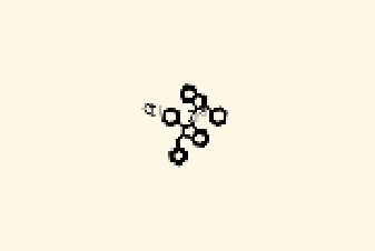 C1=C(c2ccccc2)[CH]([Zr+2][C]2=C(c3ccccc3)C(Cc3ccccc3)c3ccccc32)c2ccccc21.[Cl-].[Cl-]